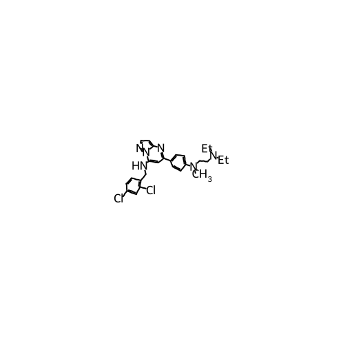 CCN(CC)CCN(C)c1ccc(-c2cc(NCc3ccc(Cl)cc3Cl)n3nccc3n2)cc1